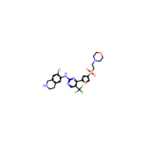 O=S(=O)(CCN1CCOCC1)c1csc(-c2nc(Nc3cc4c(cc3Cl)CNCC4)ncc2C(F)(F)F)c1